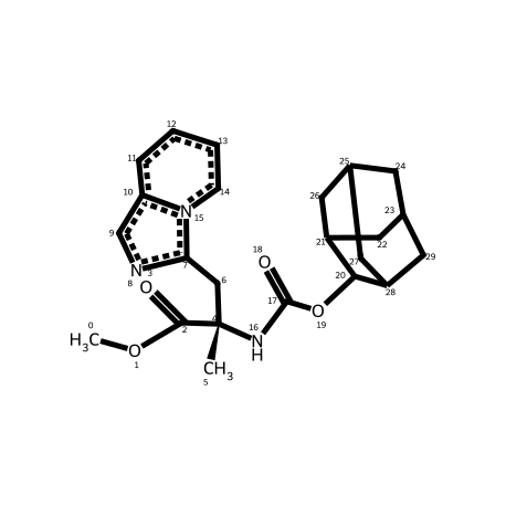 COC(=O)[C@](C)(Cc1ncc2ccccn12)NC(=O)OC1C2CC3CC(C2)CC1C3